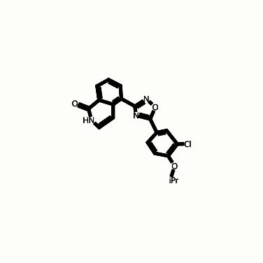 CC(C)Oc1ccc(-c2nc(-c3cccc4c(=O)[nH]ccc34)no2)cc1Cl